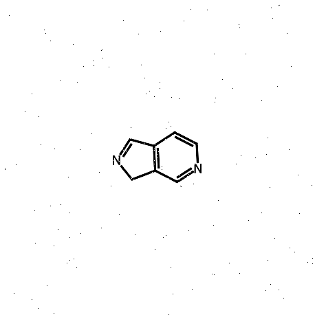 C1=NCc2cnccc21